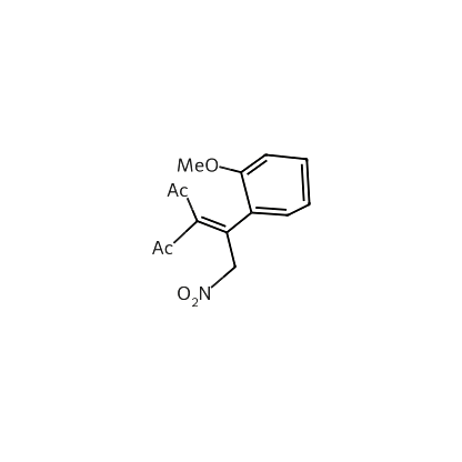 COc1ccccc1C(C[N+](=O)[O-])=C(C(C)=O)C(C)=O